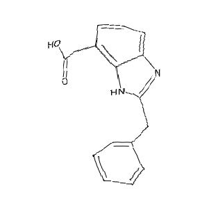 O=C(O)c1cccc2nc(Cc3ccccc3)[nH]c12